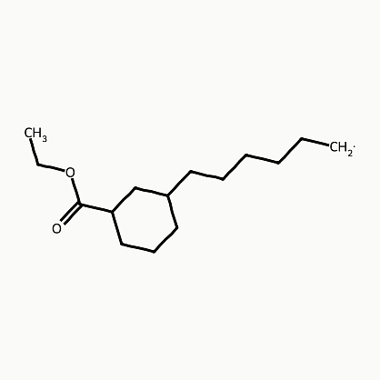 [CH2]CCCCCC1CCCC(C(=O)OCC)C1